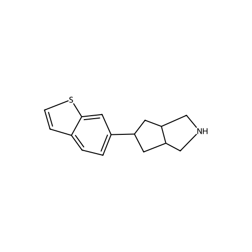 c1cc2ccc(C3CC4CNCC4C3)cc2s1